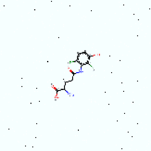 NC(CCC(=O)Nc1c(F)ccc(O)c1F)C(=O)O